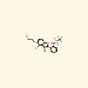 [O]CCCc1ccc2oc(-c3ccccc3NS(=O)(=O)C(F)(F)F)c(Br)c2c1Cl